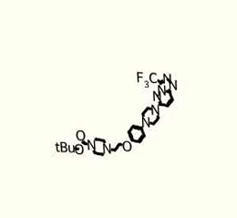 CC(C)(C)OC(=O)N1CCN(CCOc2ccc(N3CCN(c4ccc5nnc(C(F)(F)F)n5n4)CC3)cc2)CC1